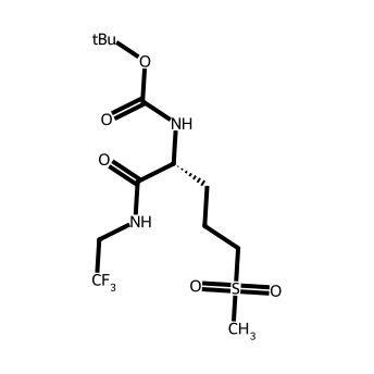 CC(C)(C)OC(=O)N[C@H](CCCS(C)(=O)=O)C(=O)NCC(F)(F)F